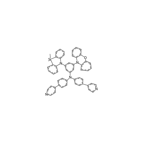 C[Si]1(C)c2ccccc2N(c2cc(N(c3ccc(-c4ccncc4)cc3)c3ccc(-c4ccncc4)cc3)cc(N3c4ccccc4Oc4ccccc43)c2)c2ccccc21